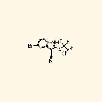 N#Cc1c(SC(F)(F)C(F)Cl)[nH]c2ccc(Br)cc12